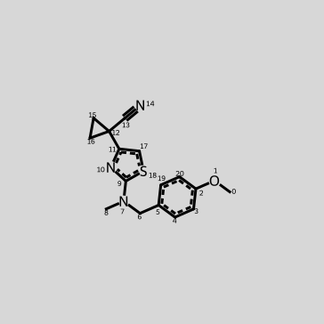 COc1ccc(CN(C)c2nc(C3(C#N)CC3)cs2)cc1